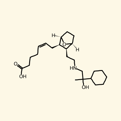 CC(O)(CNCC[C@H]1[C@@H](C/C=C\CCCC(=O)O)[C@H]2CC[C@@H]1O2)C1CCCCC1